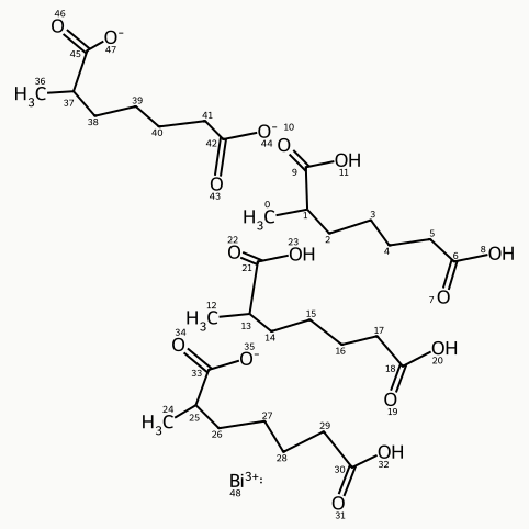 CC(CCCCC(=O)O)C(=O)O.CC(CCCCC(=O)O)C(=O)O.CC(CCCCC(=O)O)C(=O)[O-].CC(CCCCC(=O)[O-])C(=O)[O-].[Bi+3]